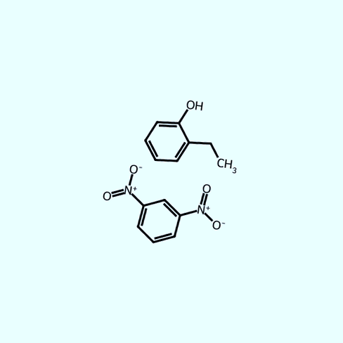 CCc1ccccc1O.O=[N+]([O-])c1cccc([N+](=O)[O-])c1